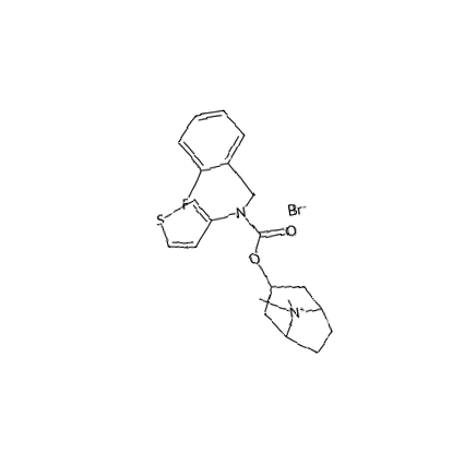 C[N+]1(C)C2CCC1CC(OC(=O)N(Cc1ccccc1F)c1ccsc1)C2.[Br-]